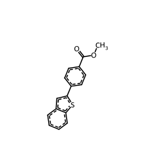 COC(=O)c1ccc(-c2cc3ccccc3s2)cc1